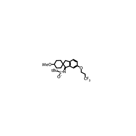 COC1CCC2(CC1)Cc1ccc(OCCC(F)(F)F)cc1/C2=N/[S+]([O-])C(C)(C)C